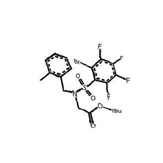 Cc1ccccc1CN(CC(=O)OC(C)(C)C)S(=O)(=O)c1c(F)c(F)c(F)c(F)c1Br